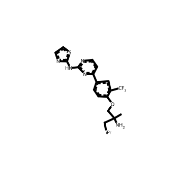 CC(C)CC(C)(N)COc1ccc(-c2ccnc(Nc3nccs3)n2)cc1C(F)(F)F